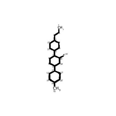 CCCC1CCC(C2CCC(C3CCC(C)CC3)CC2F)CC1